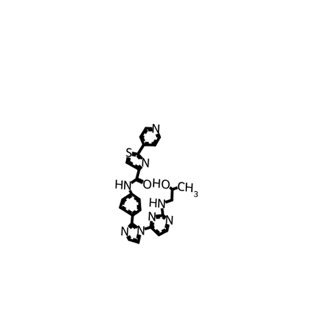 CC(O)CNc1nccc(-n2ccnc2-c2ccc(NC(=O)c3csc(-c4ccncc4)n3)cc2)n1